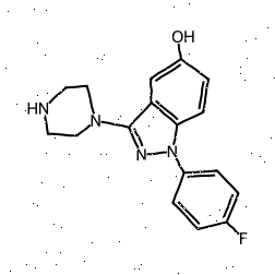 Oc1ccc2c(c1)c(N1CCNCC1)nn2-c1ccc(F)cc1